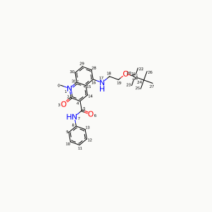 Cn1c(=O)c(C(=O)Nc2ccccc2)cc2c(NCCO[Si](C)(C)C(C)(C)C)cccc21